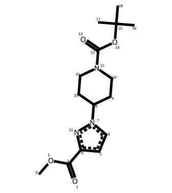 COC(=O)c1ccn(C2CCN(C(=O)OC(C)(C)C)CC2)n1